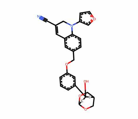 N#CC1=Cc2cc(COc3cccc(C4(O)CC5COC(C4)OC5)c3)ccc2N(c2ccoc2)C1